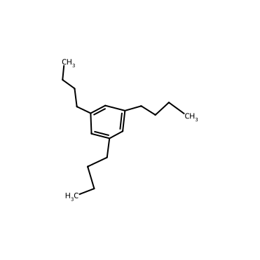 CCCCc1cc(CCCC)cc(CCCC)c1